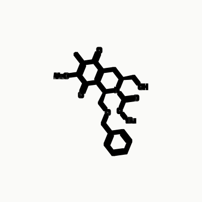 COC1=C(C)C(=O)C2=C(C1=O)[C@H](COCc1ccccc1)N(C(=O)OC(C)(C)C)[C@H](CO)C2